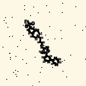 CCS(=O)(=O)c1ccc2c(c1)CCN(CCCSc1nnc(-c3cccc(-c4cnccn4)c3)n1C)CC2